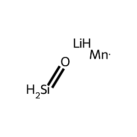 O=[SiH2].[LiH].[Mn]